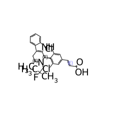 C[C@@H]1Cc2c([nH]c3ccccc23)[C@@H](c2c(Cl)cc(/C=C/C(=O)O)cc2Cl)N1CC(C)(C)F